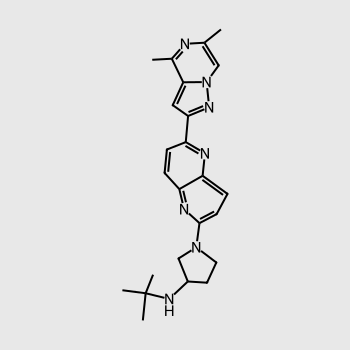 Cc1cn2nc(-c3ccc4nc(N5CCC(NC(C)(C)C)C5)ccc4n3)cc2c(C)n1